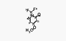 COc1[c]nn(C(F)F)c(=O)c1